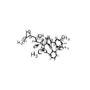 COc1cccc(OC)c1-n1c(NS(=O)(=O)C[C@@H](O)C2OCC2C)nnc1-c1cncc(C)c1